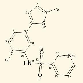 Cc1ccc(-c2ccc(C)c(NS(=O)(=O)c3cccnc3)c2)s1